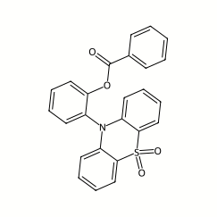 O=C(Oc1ccccc1N1c2ccccc2S(=O)(=O)c2ccccc21)c1ccccc1